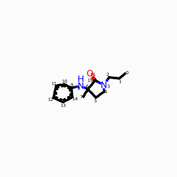 CCCN1CCC(C)(Nc2ccccc2)C1=O